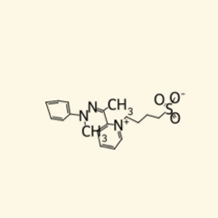 C/C(=N/N(C)c1ccccc1)c1cccc[n+]1CCCCS(=O)(=O)[O-]